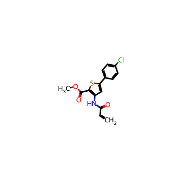 C=CC(=O)Nc1cc(-c2ccc(Cl)cc2)sc1C(=O)OC